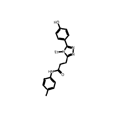 CCn1c(CCC(=O)Nc2ccc(C)cc2)nnc1-c1ccc(O)cc1